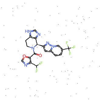 O=C(c1ocnc1C(F)F)N1CCc2[nH]cnc2[C@H]1c1cc2ccc(C(F)(F)F)cn2n1